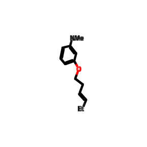 CCC=CCCOc1cccc(NC)c1